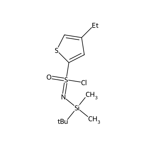 CCc1csc(S(=O)(Cl)=N[Si](C)(C)C(C)(C)C)c1